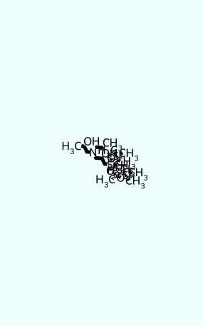 CC(O)CN(CCC[Si](C)(O[Si](C)(C)C)O[Si](C)(C)O[Si](C)(C)C)CC(C)O